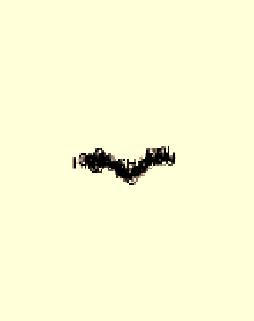 COC1(CN2CCN(C(=O)c3ccc(N4CCC5(CC4)CC(C)N(c4ccc(C#N)c(Cl)c4)C5)cc3)CC2)CN(c2ccc3c(c2)C(=O)N(C2CCC(=O)NC2=O)C3=O)C1